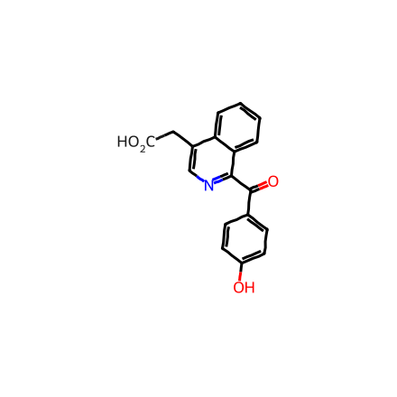 O=C(O)Cc1cnc(C(=O)c2ccc(O)cc2)c2ccccc12